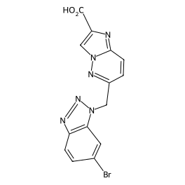 O=C(O)c1cn2nc(Cn3nnc4ccc(Br)cc43)ccc2n1